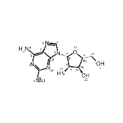 CC(C)(C)c1nc(N)c2ncn([C@@H]3O[C@H](CO)[C@@H](O)[C@H]3S)c2n1